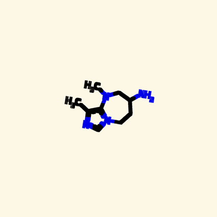 Cc1ncn2c1N(C)CC(N)CC2